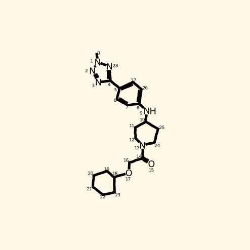 Cn1nnc(-c2ccc(NC3CCN(C(=O)COC4CCCCC4)CC3)cc2)n1